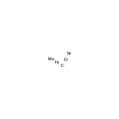 [C].[Cr].[Fe].[Mo].[Ni]